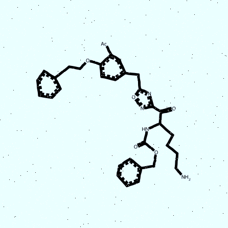 CC(=O)c1cc(Cc2nc(C(=O)C(CCCCN)NC(=O)OCc3ccccc3)no2)ccc1OCCc1ccccc1